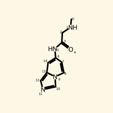 CNCC(=O)Nc1ccn2cncc2c1